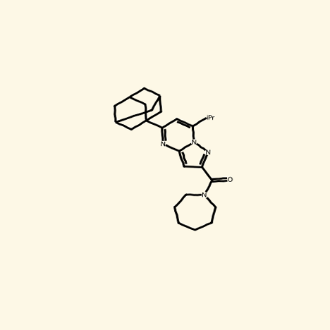 CC(C)c1cc(C23CC4CC(CC(C4)C2)C3)nc2cc(C(=O)N3CCCCCC3)nn12